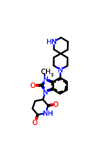 Cn1c(=O)n(C2CCC(=O)NC2=O)c2cccc(N3CCC4(CCCNC4)CC3)c21